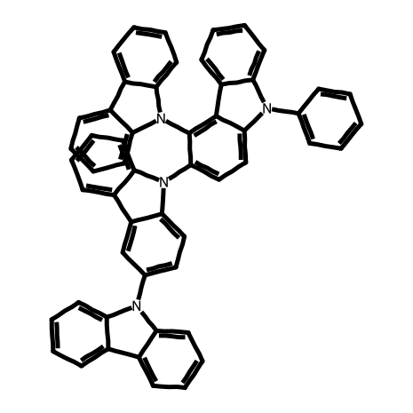 c1ccc(-n2c3ccccc3c3c(-n4c5ccccc5c5ccccc54)c(-n4c5ccccc5c5cc(-n6c7ccccc7c7ccccc76)ccc54)ccc32)cc1